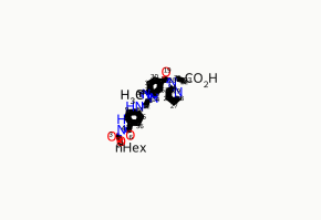 CCCCCCOC(=O)NC(=O)c1ccc(NCc2nc3cc(C(=O)N(CCC(=O)O)c4ccccn4)ccc3n2C)cc1